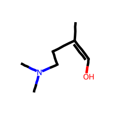 CC(=CO)CCN(C)C